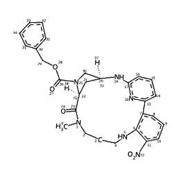 CN1CCCNc2c(cccc2[N+](=O)[O-])-c2cccc(n2)N[C@H]2C[C@@H](C1=O)N(C(=O)OCc1ccccc1)C2